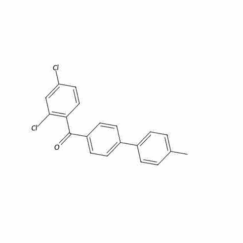 Cc1ccc(-c2ccc(C(=O)c3ccc(Cl)cc3Cl)cc2)cc1